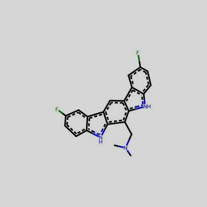 CN(C)Cc1c2[nH]c3ccc(F)cc3c2cc2c1[nH]c1ccc(F)cc12